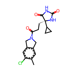 Cc1cc2c(cc1Cl)CN(C(=O)CC[C@@]1(C3CC3)NC(=O)NC1=O)C2